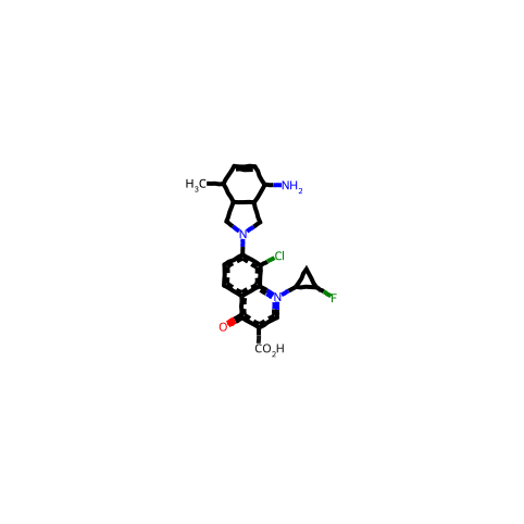 CC1C=CC(N)C2CN(c3ccc4c(=O)c(C(=O)O)cn(C5CC5F)c4c3Cl)CC12